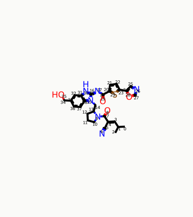 CC(C)C=C(C#N)C(=O)N1CCCC1Cn1c(=NC(=O)c2ccc(-c3cnco3)s2)[nH]c2cc(CO)ccc21